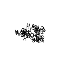 Cc1c(-c2ccc(C(=O)NCCO[PH](O)(O)OCCNC(=O)c3ccc(-c4c(C)c(C(=O)C5C=Cc6c([nH]c(=O)n(CC(=O)OC(C)(C)C)c6=O)C5)n5ccccc45)cc3)cc2)c2ccccn2c1C(=O)c1ccc2c(=O)n(C(C(=O)O)C(C)(C)C)c(=O)[nH]c2c1